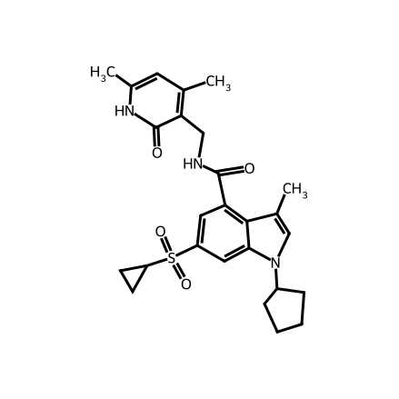 Cc1cc(C)c(CNC(=O)c2cc(S(=O)(=O)C3CC3)cc3c2c(C)cn3C2CCCC2)c(=O)[nH]1